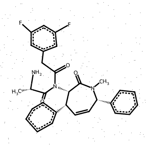 C[C@H](N)C(=O)N(C(=O)Cc1cc(F)cc(F)c1)[C@@H]1C(=O)N(C)[C@H](c2ccccc2)C=C[C@@H]1c1ccccc1